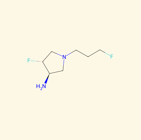 N[C@@H]1CN(CCCF)C[C@H]1F